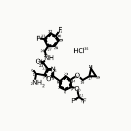 CC(N)c1oc(-c2ccc(OC(F)F)c(OCC3CC3)c2)nc1C(=O)NCc1ccc(F)cc1F.Cl